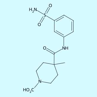 CC1(C(=O)Nc2cccc(S(N)(=O)=O)c2)CCN(C(=O)O)CC1